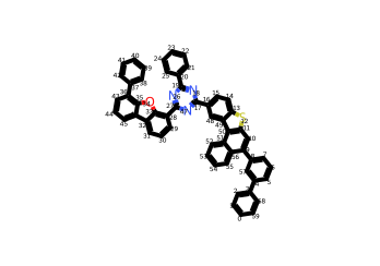 c1ccc(-c2cccc(-c3cc4sc5ccc(-c6nc(-c7ccccc7)nc(-c7cccc8c7oc7c(-c9ccccc9)cccc78)n6)cc5c4c4ccccc34)c2)cc1